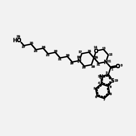 O=C(c1nc2ccccc2s1)N1CCOC2(CCN(CCCCCCCCCO)CC2)C1